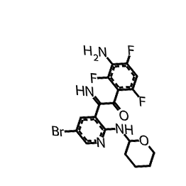 N=C(C(=O)c1c(F)cc(F)c(N)c1F)c1cc(Br)cnc1NC1CCCCO1